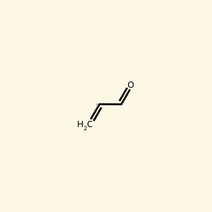 C=[C]C=O